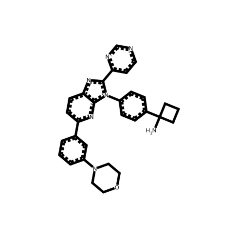 NC1(c2ccc(-n3c(-c4ccncn4)nc4ccc(-c5cccc(N6CCOCC6)c5)nc43)cc2)CCC1